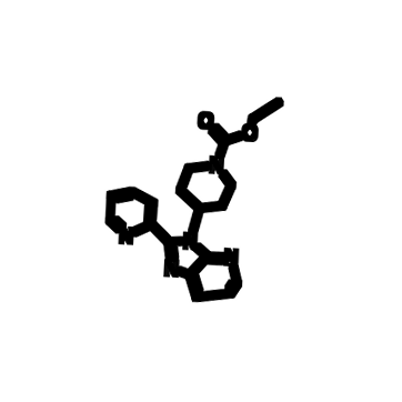 CCOC(=O)N1CCC(n2c(-c3ccccn3)nc3cccnc32)CC1